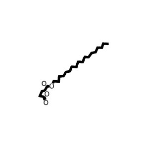 CCCCCCCCCCCCCCCCCCOC(=O)C1CCC(=O)O1